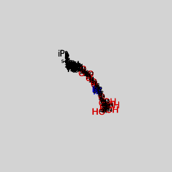 CC(C)CCC[C@@H](C)[C@H]1CC[C@H]2[C@@H]3CC=C4C[C@@H](OC(=O)CCC(=O)OCCOOCc5cn(CCOCCO[C@H]6OC(CO)[C@@H](O)C(O)C6O)nn5)CC[C@]4(C)[C@H]3CC[C@]12C